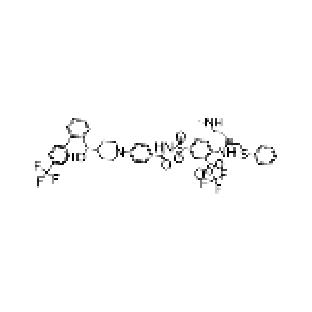 CNCC[C@H](CSc1ccccc1)Nc1ccc(S(=O)(=O)NC(=O)c2ccc(N3CCC(C(O)c4ccccc4-c4ccc(C(F)(F)F)cc4)CC3)cc2)cc1S(=O)(=O)C(F)(F)F